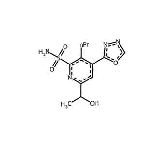 CCCc1c(-c2nnco2)cc(C(C)O)nc1S(N)(=O)=O